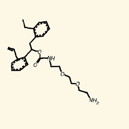 C=Cc1ccccc1C(Cc1ccccc1CC)OC(=O)NCCOCCOCCN